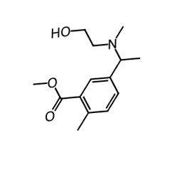 COC(=O)c1cc(C(C)N(C)CCO)ccc1C